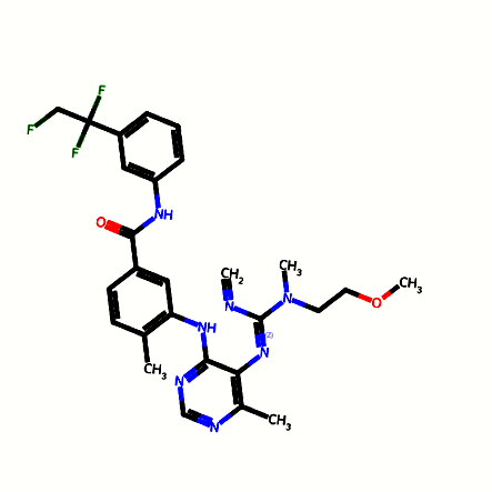 C=N/C(=N\c1c(C)ncnc1Nc1cc(C(=O)Nc2cccc(C(F)(F)CF)c2)ccc1C)N(C)CCOC